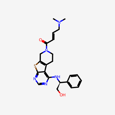 CN(C)C/C=C/C(=O)N1CCc2c(sc3ncnc(N[C@H](CO)c4ccccc4)c23)C1